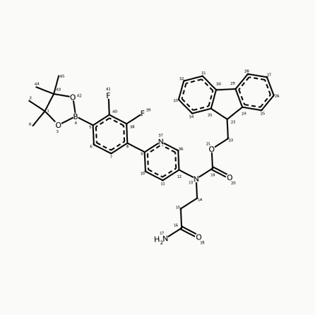 CC1(C)OB(c2ccc(-c3ccc(N(CCC(N)=O)C(=O)OCC4c5ccccc5-c5ccccc54)cn3)c(F)c2F)OC1(C)C